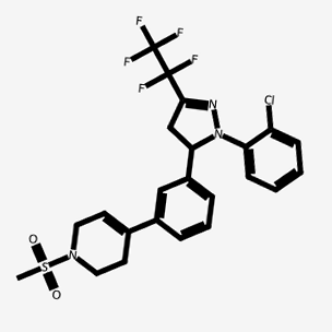 CS(=O)(=O)N1CC=C(c2cccc(C3CC(C(F)(F)C(F)(F)F)=NN3c3ccccc3Cl)c2)CC1